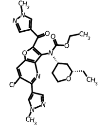 CCOC(=O)N(c1c(C(=O)c2cnn(C)c2)oc2cc(Cl)c(-c3cnn(C)c3)nc12)[C@H]1CCO[C@@H](CC)C1